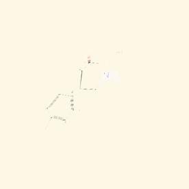 Cc1ccc(C(CN)CC(=O)OC(C)(C)C)cc1